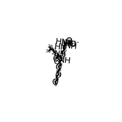 COCCOCCOCC(=O)N[C@@H](CCCNC(=N)N[N+](=O)[O-])C(=O)N[CH]CC(C)C